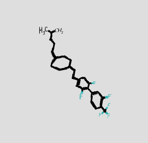 CC(C)CCCC1CCC(CCc2cc(F)c(-c3ccc(C(F)(F)F)c(F)c3)c(F)c2)CC1